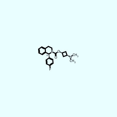 CN(C)[C@H]1C[C@@H](OC(=O)N2CCc3ccccc3[C@@H]2c2ccc(F)cc2)C1